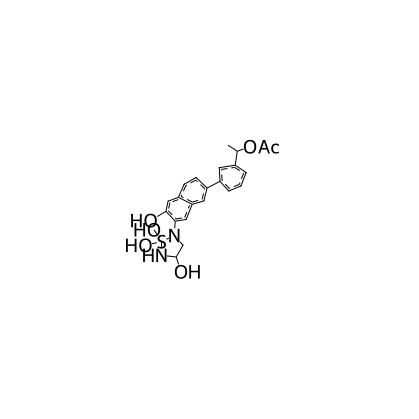 CC(=O)OC(C)c1cccc(-c2ccc3cc(O)c(N4CC(O)NS4(O)O)cc3c2)c1